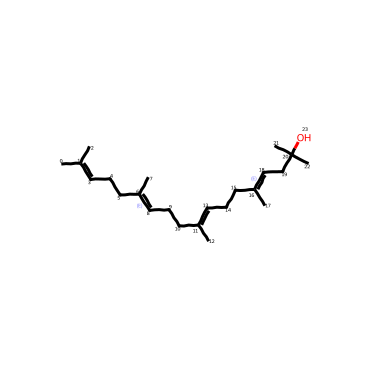 CC(C)=CCC/C(C)=C/CCC(C)=CCC/C(C)=C/CC(C)(C)O